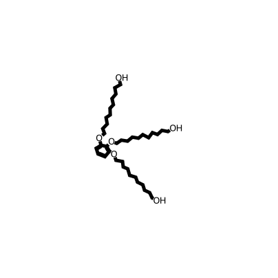 OCCCCCCCCCCCOc1cccc(OCCCCCCCCCCCO)c1OCCCCCCCCCCCO